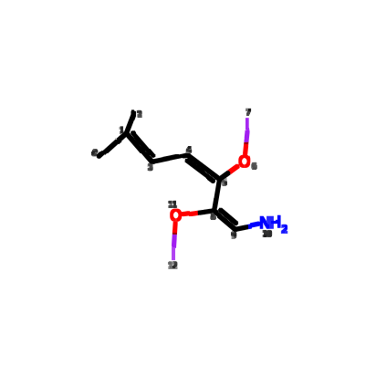 CC(C)=C/C=C(OI)\C(=C/N)OI